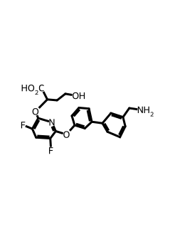 NCc1cccc(-c2cccc(Oc3nc(OC(CCO)C(=O)O)c(F)cc3F)c2)c1